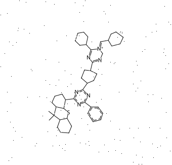 CC1(C)C2CCCCC2SC2C(c3nc(-c4ccccc4)nc(C4CCC(C5=NC/[N+](=C\C6CCCCC6)C(C6CCCCC6)=N5)CC4)n3)CCCC21